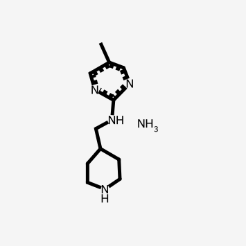 Cc1cnc(NCC2CCNCC2)nc1.N